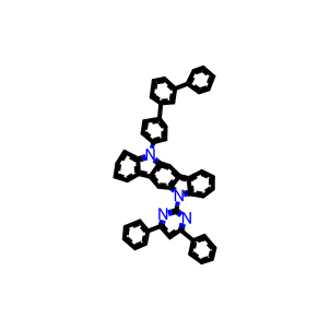 c1ccc(-c2cccc(-c3ccc(-n4c5ccccc5c5cc6c(cc54)c4ccccc4n6-c4nc(-c5ccccc5)cc(-c5ccccc5)n4)cc3)c2)cc1